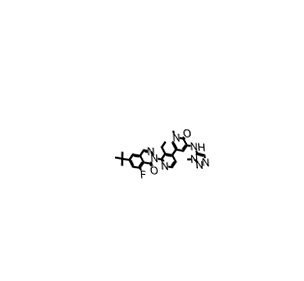 CCc1c(-c2cc(Nc3cnnn3C)c(=O)n(C)c2)ccnc1-n1ncc2cc(C(C)(C)C)cc(F)c2c1=O